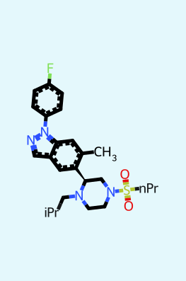 CCCS(=O)(=O)N1CCN(CC(C)C)[C@@H](c2cc3cnn(-c4ccc(F)cc4)c3cc2C)C1